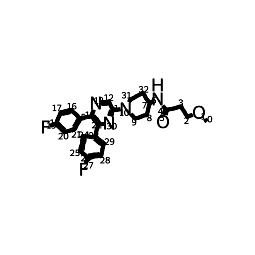 COCCC(=O)NC1CCN(c2cnc(-c3ccc(F)cc3)c(-c3ccc(F)cc3)n2)CC1